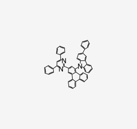 c1ccc(-c2ccc3c(c2)c2ccccc2n3-c2cc(-c3nc(-c4ccccc4)cc(-c4ccccc4)n3)cc3c4ccccc4c4ccccc4c23)cc1